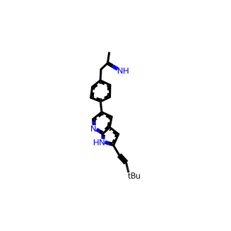 CC(=N)Cc1ccc(-c2cnc3[nH]c(C#CC(C)(C)C)cc3c2)cc1